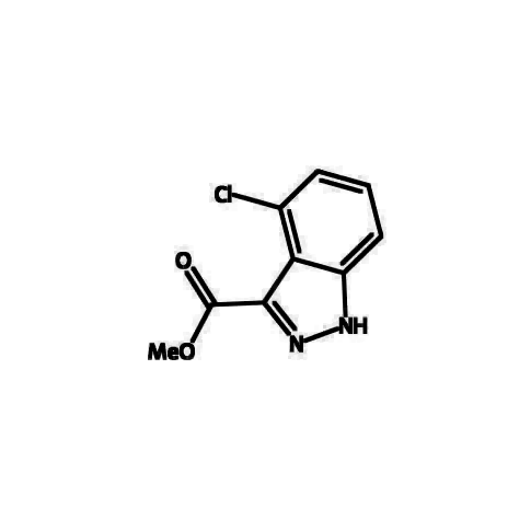 COC(=O)c1n[nH]c2cccc(Cl)c12